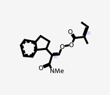 C/C=C(/C)C(=O)OO/C=C(/C(=O)NC)C1CCc2ccccc21